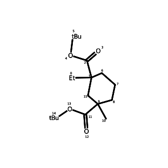 CCC1(C(=O)OC(C)(C)C)CCCC(C)(C(=O)OC(C)(C)C)C1